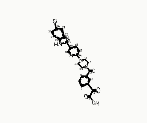 O=C(O)C(=O)c1cccc(C(=O)N2CCN(c3ccc(-c4nc5cc(Cl)ccc5[nH]4)cn3)CC2)c1